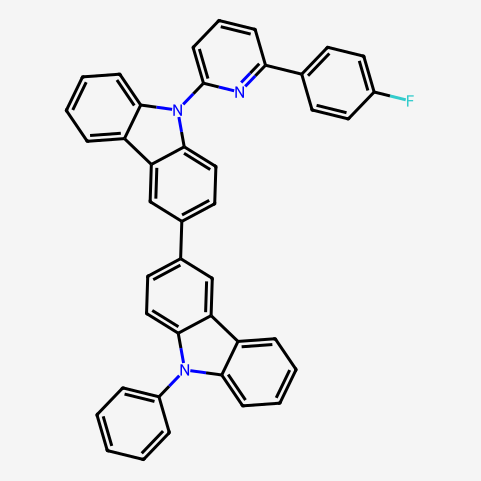 Fc1ccc(-c2cccc(-n3c4ccccc4c4cc(-c5ccc6c(c5)c5ccccc5n6-c5ccccc5)ccc43)n2)cc1